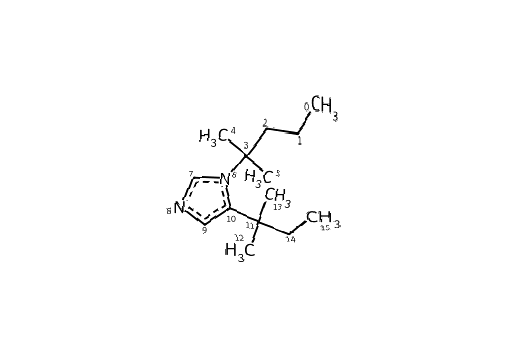 CCCC(C)(C)n1cncc1C(C)(C)CC